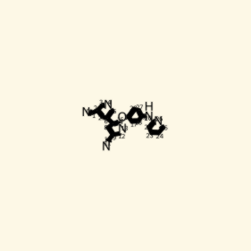 N#Cc1cncc(-c2cc(C#N)cnc2Oc2ccc(Nc3ccccn3)cc2)c1